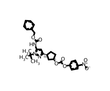 CC(C)(C)n1nc([C@H]2CC[C@@H](OC(=O)Oc3ccc([N+](=O)[O-])cc3)C2)cc1NC(=O)OCc1ccccc1